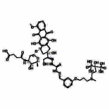 COc1cccc2c1C(=O)c1c(O)c3c(c(O)c1C2=O)C[C@@](O)(/C(CO)=N/NC(=S)N/N=C/c1cccc(OCCCN(C)CCC(O)(P(=O)(O)O)P(=O)(O)O)c1)C[C@@H]3O[C@H]1C[C@H](NC(=O)CCC(=O)O)[C@H](O)[C@H](C)O1